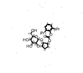 CC(C)c1cccc(C(C)C)c1OC(=O)O[C@@H]1CCC[C@@H]1O[C@H]1O[C@H](CO)[C@@H](O)[C@H](O)[C@@H]1O